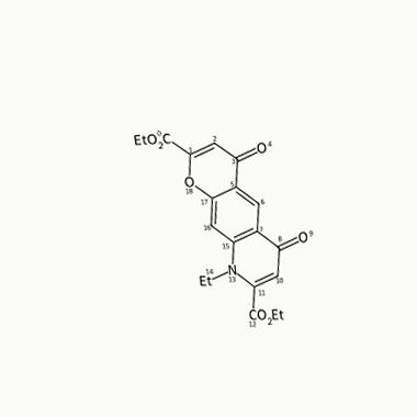 CCOC(=O)c1cc(=O)c2cc3c(=O)cc(C(=O)OCC)n(CC)c3cc2o1